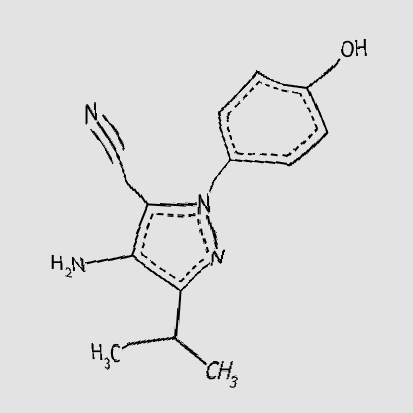 CC(C)c1nn(-c2ccc(O)cc2)c(C#N)c1N